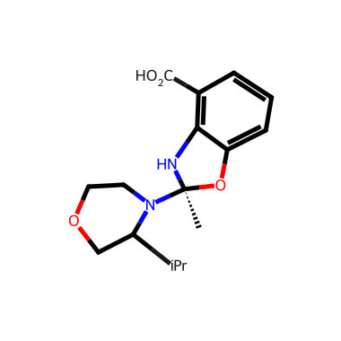 CC(C)C1COCCN1[C@@]1(C)Nc2c(cccc2C(=O)O)O1